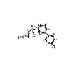 [N-]=[N+]=NCS(=O)(=O)c1nncc(-c2ccc(F)cc2)n1